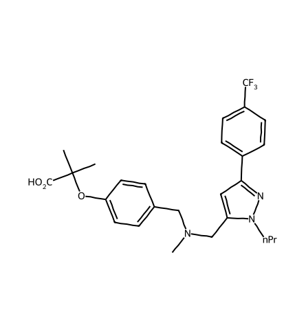 CCCn1nc(-c2ccc(C(F)(F)F)cc2)cc1CN(C)Cc1ccc(OC(C)(C)C(=O)O)cc1